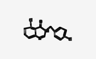 O=C1c2c(Cl)cccc2N=C[SH]1Cc1ccc(Cl)cc1